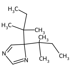 CCC(C)(C)C1(C(C)(C)CC)C=NC=N1